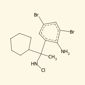 CC(NCl)(c1cc(Br)cc(Br)c1N)C1CCCCC1